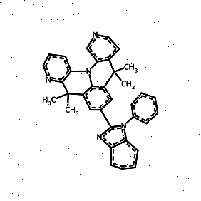 CC1(C)c2ccncc2N2c3cccnc3C(C)(C)c3cc(-c4nc5ccccc5n4-c4ccccc4)cc1c32